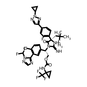 CC(C)(C)C[C@]1(c2ccc(-c3cnn(C4CC4)n3)cc2F)NC(=N)N([C@H](COC(=O)NC2(C(F)(F)F)CC2)c2ccc(Cl)c(-c3ncnn3C(F)F)c2)C1=O